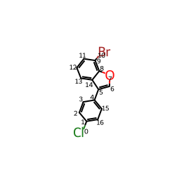 Clc1ccc(-c2coc3c(Br)cccc23)cc1